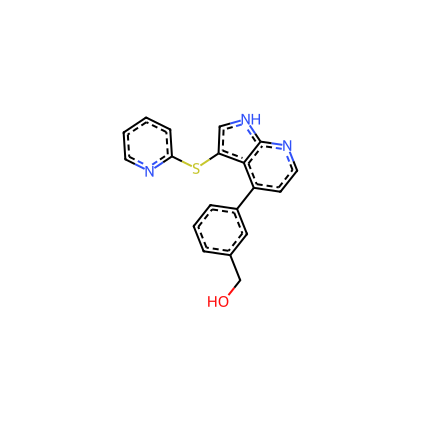 OCc1cccc(-c2ccnc3[nH]cc(Sc4ccccn4)c23)c1